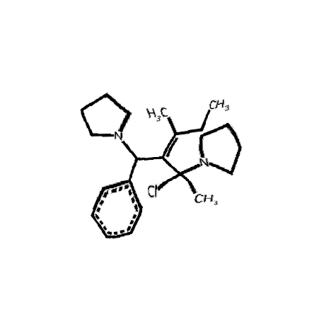 CC/C(C)=C(/C(c1ccccc1)N1CCCC1)C(C)(Cl)N1CCCC1